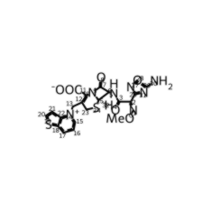 CO/N=C(\C(=O)NC1C(=O)N2C(C(=O)[O-])=C(C[n+]3cccc4sccc43)CS[C@H]12)c1noc(N)n1